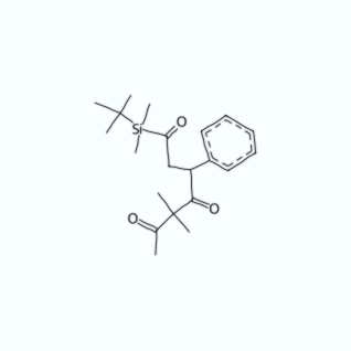 CC(=O)C(C)(C)C(=O)C(CC(=O)[Si](C)(C)C(C)(C)C)c1ccccc1